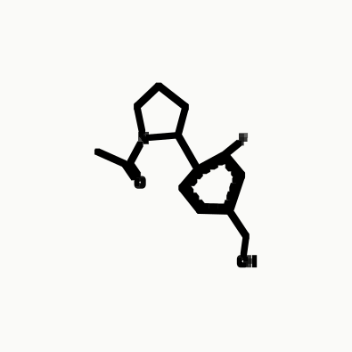 CC(=O)N1CCCC1c1ccc(CO)cc1F